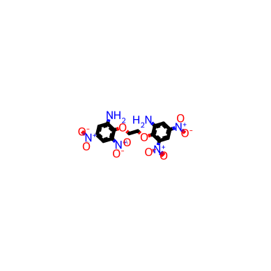 Nc1cc([N+](=O)[O-])cc([N+](=O)[O-])c1OCCOc1c(N)cc([N+](=O)[O-])cc1[N+](=O)[O-]